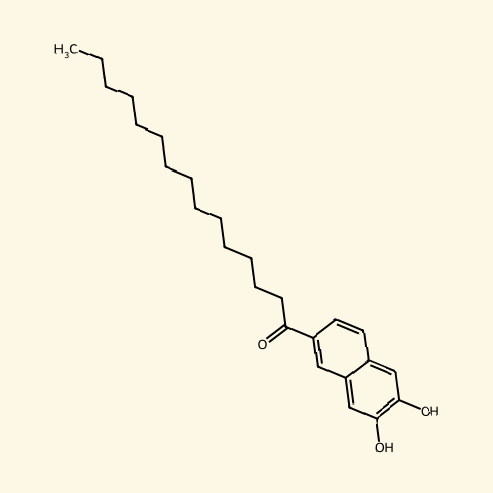 CCCCCCCCCCCCCCC(=O)c1ccc2cc(O)c(O)cc2c1